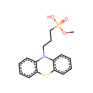 COP(=O)(O)CCCN1c2ccccc2Sc2ccccc21